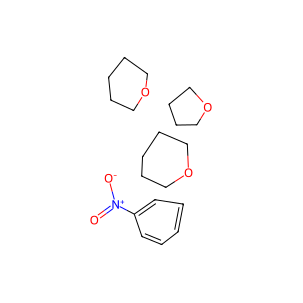 C1CCOC1.C1CCOCC1.C1CCOCC1.O=[N+]([O-])c1ccccc1